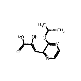 CC(C)Oc1nccnc1C=C(O)C(=O)O